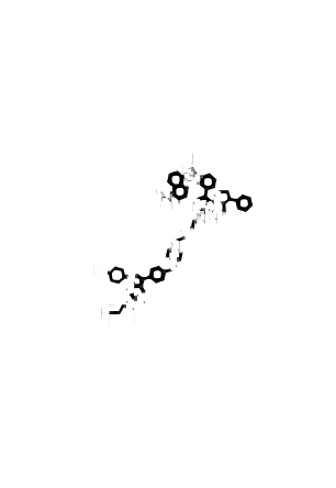 CN(C)c1cccc2c(S(=O)(=O)Nc3cccc(-c4cnc(NCCOCCN5CCN(Cc6ccc(-c7cn([C@H]8CC[C@H](O)CC8)c8nc(NCCC(F)(F)F)ncc78)cc6)CC5)nc4N4CCC(c5ccccc5)C4C(=O)O)c3)cccc12